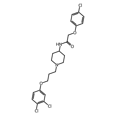 O=C(COc1ccc(Cl)cc1)NC1CCN(CCCOc2ccc(Cl)c(Cl)c2)CC1